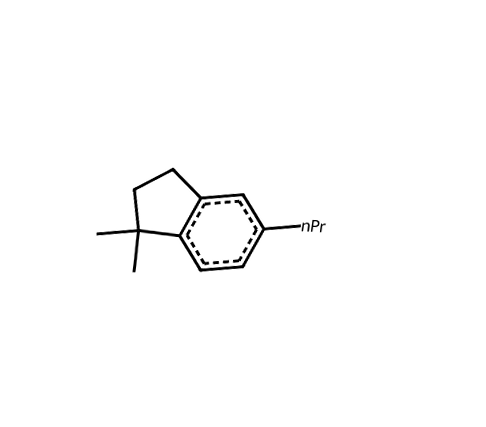 CCCc1ccc2c(c1)CCC2(C)C